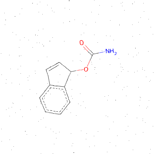 NC(=O)OC1C=Cc2ccccc21